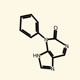 O=c1ncc2nc[nH]c2n1-c1ccccc1